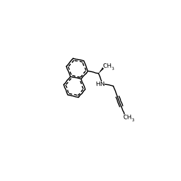 CC#CCN[C@H](C)c1cccc2ccccc12